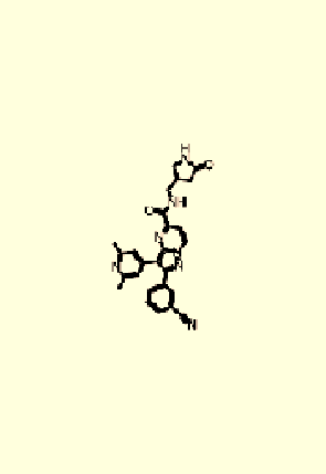 Cc1cc(-c2c(-c3cccc(C#N)c3)nn3ccc(C(=O)NCC4CNC(=O)C4)nc23)cc(C)n1